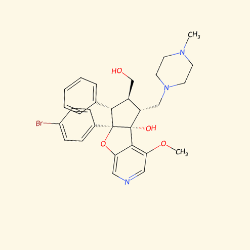 COc1cncc2c1[C@]1(O)[C@@H](CN3CCN(C)CC3)[C@H](CO)[C@@H](c3ccccc3)[C@]1(c1ccc(Br)cc1)O2